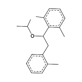 Cc1ccccc1CC(OC(C)C)c1c(C)cccc1C